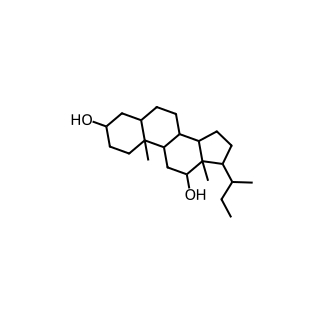 CCC(C)C1CCC2C3CCC4CC(O)CCC4(C)C3CC(O)C12C